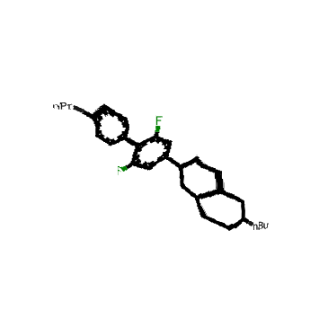 CCCCC1CCC2CC(c3cc(F)c(-c4ccc(CCC)cc4)c(F)c3)CCC2C1